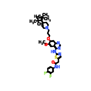 COc1cc2c(Nc3ncc(CC(=O)Nc4ccc(F)c(F)c4)s3)ncnc2cc1OCCCN1CCC([C](C(C)(C)C)C(C)(C)C)CC1